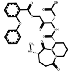 CN[C@H]1CCC(=O)N2CCC[C@@H](C(=O)N[C@@H](CC(=O)O)C(=O)COC(=O)c3ccccc3Oc3ccccc3)N2C1=O